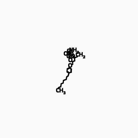 C=CC(=O)CC(COc1ccc(CCCCCCCCC)cc1)OCOS(=O)(=O)ON